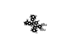 Cc1cc2c3c(c1)N(c1ccc4c(c1)C(C)(C)CCC4(C)C)c1c(sc4cc5c(cc14)C(C)C1CCC51C)B3c1cc3c(cc1N2c1cc(C(C)(C)C)cc(C(C)(C)C)c1)C(C)(C)CCC3(C)C